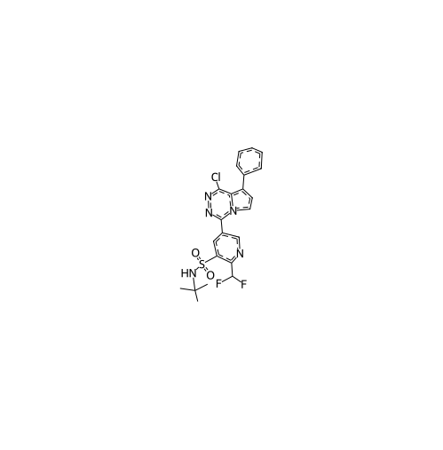 CC(C)(C)NS(=O)(=O)c1cc(-c2nnc(Cl)c3c(-c4ccccc4)ccn23)cnc1C(F)F